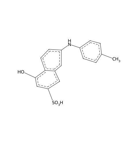 Cc1ccc(Nc2ccc3c(O)cc(S(=O)(=O)O)cc3c2)cc1